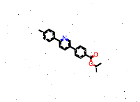 Cc1ccc(-c2ccc(-c3ccc(C(=O)OC(C)C)cc3)cn2)cc1